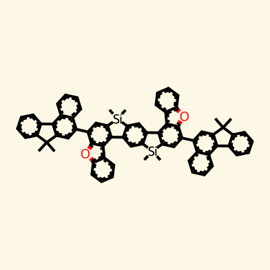 CC1(C)c2ccccc2-c2c1cc(-c1cc3c(c4c1oc1ccccc14)-c1cc4c(cc1[Si]3(C)C)-c1c(cc(-c3cc5c(c6ccccc36)-c3ccccc3C5(C)C)c3oc5ccccc5c13)[Si]4(C)C)c1ccccc21